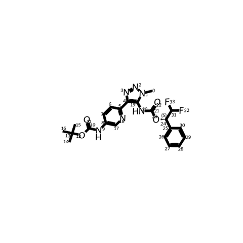 Cn1nnc(-c2ccc(NC(=O)OC(C)(C)C)cn2)c1NC(=O)O[C@@H](c1ccccc1)C(F)F